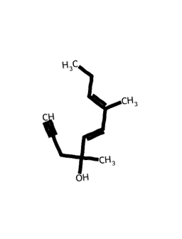 C#CCC(C)(O)C=CC(C)=CCC